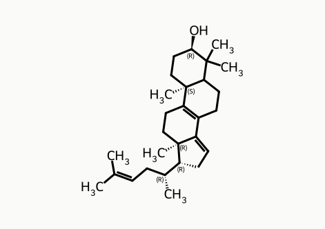 CC(C)=CC[C@@H](C)[C@H]1CC=C2C3=C(CC[C@@]21C)[C@@]1(C)CC[C@@H](O)C(C)(C)C1CC3